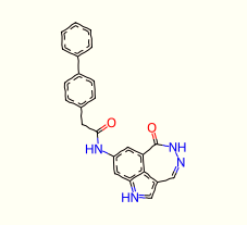 O=C(Cc1ccc(-c2ccccc2)cc1)Nc1cc2c3c(c[nH]c3c1)C=NNC2=O